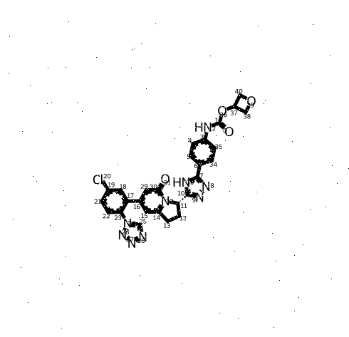 O=C(Nc1ccc(-c2nnc([C@@H]3CCc4cc(-c5cc(Cl)ccc5-n5cnnn5)cc(=O)n43)[nH]2)cc1)OC1COC1